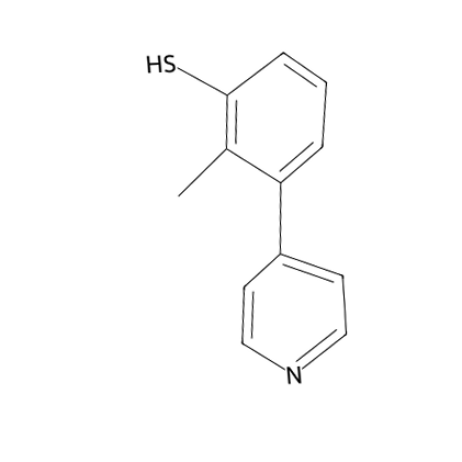 Cc1c(S)cccc1-c1ccncc1